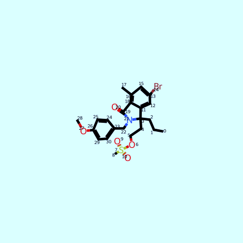 CCCC1(CCOS(C)(=O)=O)c2cc(Br)cc(C)c2C(=O)N1Cc1ccc(OC)cc1